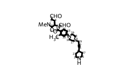 CNC(=O)C(CCC=O)N(C=O)C(=O)c1ccc(N2CCN(CC#CC3CCNCC3)CC2)cc1C